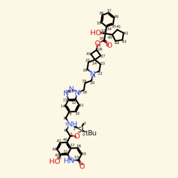 CC(C)(C)[Si](C)(C)OC(CNCc1ccc2c(c1)nnn2CCCN1CCC2(CC1)CC(OC(=O)C(O)(c1ccccc1)C1CCCC1)C2)c1ccc(O)c2[nH]c(=O)ccc12